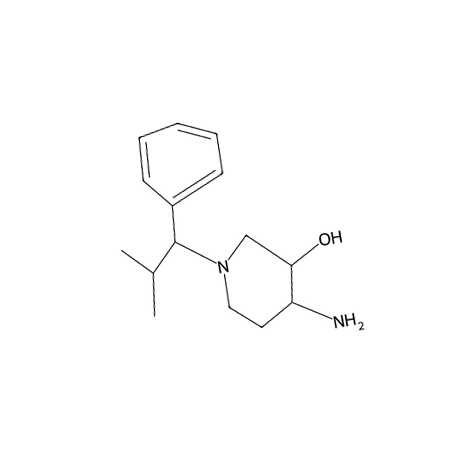 CC(C)C(c1ccccc1)N1CCC(N)C(O)C1